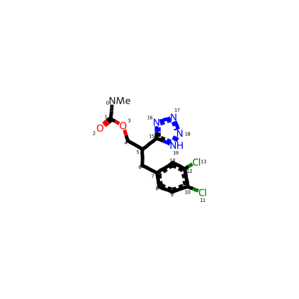 CNC(=O)OCC(Cc1ccc(Cl)c(Cl)c1)c1nnn[nH]1